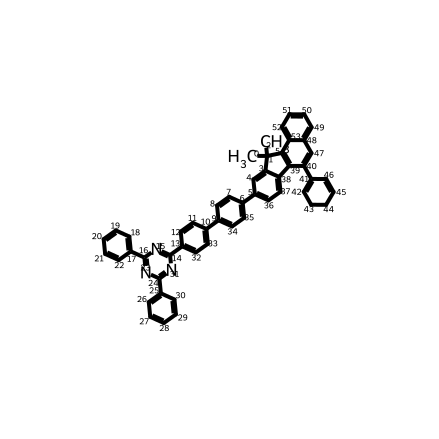 CC1(C)c2cc(-c3ccc(-c4ccc(-c5nc(-c6ccccc6)nc(-c6ccccc6)n5)cc4)cc3)ccc2-c2c(C3=CCCC=C3)cc3ccccc3c21